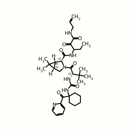 C=CCNC(=O)C(=O)C(CC)NC(=O)[C@@H]1[C@@H]2[C@H](CN1C(=O)[C@@H](NC(=O)NC1(C(=O)c3ccccn3)CCCCC1)C(C)(C)C)C2(C)C